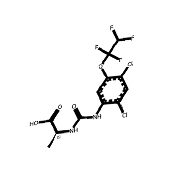 C[C@H](NC(=O)Nc1cc(OC(F)(F)C(F)F)c(Cl)cc1Cl)C(=O)O